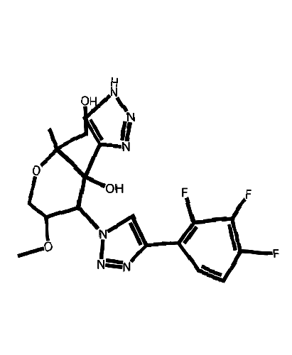 COC1COC(C)(CO)C(O)(c2c[nH]nn2)C1n1cc(-c2ccc(F)c(F)c2F)nn1